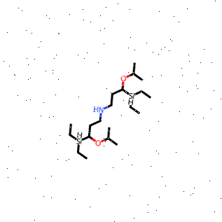 CC[SiH](CC)C(CCNCCC(OC(C)C)[SiH](CC)CC)OC(C)C